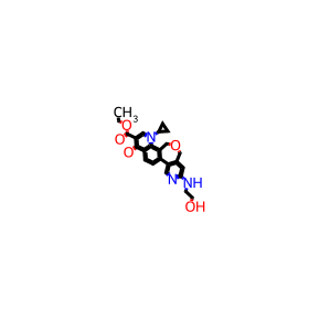 CCOC(=O)c1cn(C2CC2)c2c3c(ccc2c1=O)-c1cnc(NCCO)cc1COC3